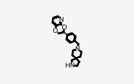 c1cnc2c(c1)OC[C@H](c1ccc(CN3CCC4(CCNC4)CC3)cc1)O2